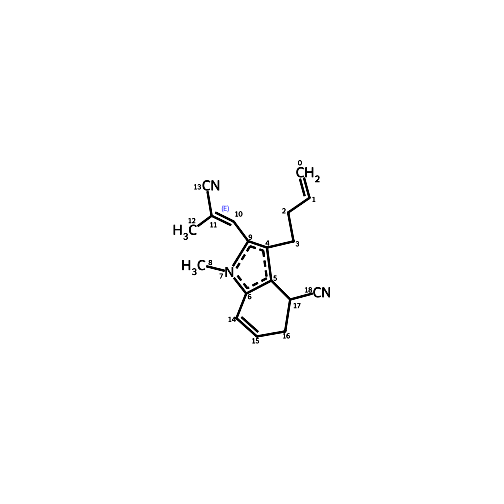 C=CCCc1c2c(n(C)c1/C=C(\C)C#N)C=CCC2C#N